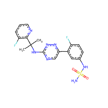 CC(C)(Nc1ncc(-c2cc(NS(N)(=O)=O)ccc2F)nn1)c1ncccc1F